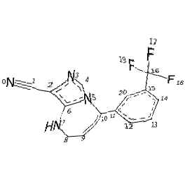 N#Cc1ncn2c1NCC=C2c1cccc(C(F)(F)F)c1